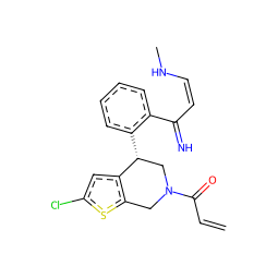 C=CC(=O)N1Cc2sc(Cl)cc2[C@H](c2ccccc2C(=N)/C=C\NC)C1